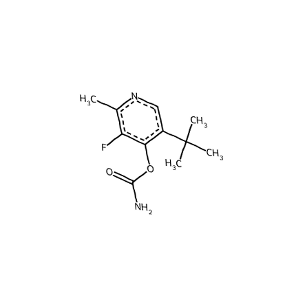 Cc1ncc(C(C)(C)C)c(OC(N)=O)c1F